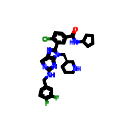 O=C(NC1CCCC1)c1ccc(Cl)c(-c2nc3cnc(NCc4ccc(F)c(F)c4)nc3n2C[C@@H]2CCCNC2)c1